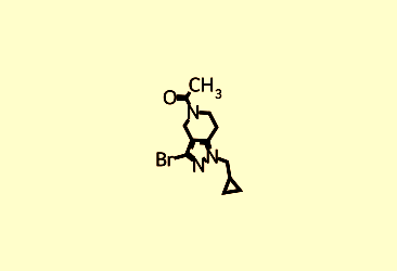 CC(=O)N1CCc2c(c(Br)nn2CC2CC2)C1